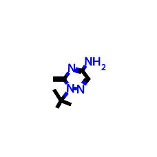 C=C1N=C(N)C=NN1C(C)(C)C